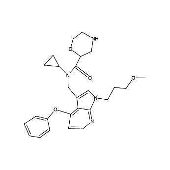 COCCCn1cc(CN(C(=O)C2CNCCO2)C2CC2)c2c(Oc3ccccc3)ccnc21